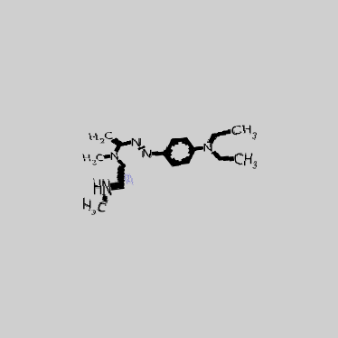 C=C(N=Nc1ccc(N(CC)CC)cc1)N(C)/C=C\NC